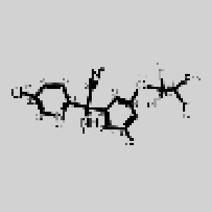 N#CC(N)(c1cc(F)cc(OC(F)(F)C(F)F)c1)c1ccc(Cl)cn1